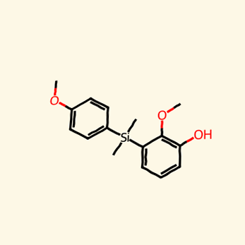 COc1ccc([Si](C)(C)c2cccc(O)c2OC)cc1